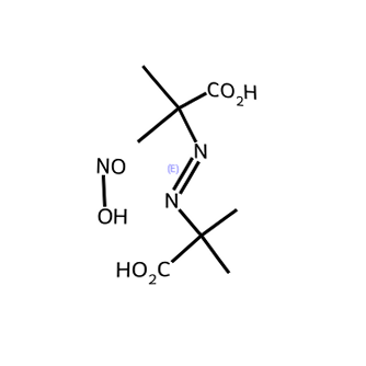 CC(C)(/N=N/C(C)(C)C(=O)O)C(=O)O.O=NO